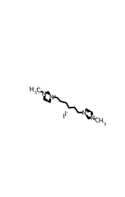 Cn1cc[n+](CCCCCC[n+]2ccn(C)c2)c1.[I-].[I-]